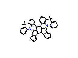 CC1(C)c2ccccc2N2B3c4ccccc4-c4c3c(c3c5c4-c4ccccc4B5N4c5ccccc5C(C)(C)c5cccc-3c54)-c3cccc1c32